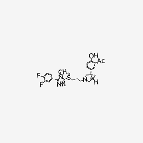 CC(=O)c1cc(C23C[C@@H]2CN(CCCSc2nnc(-c4ccc(F)c(F)c4)n2C)C3)ccc1O